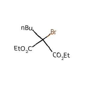 CCCCC(Br)(C(=O)OCC)C(=O)OCC